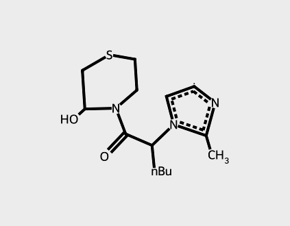 CCCCC(C(=O)N1CCSCC1O)n1c[c]nc1C